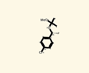 [CH2][C@@H](OC(C)(C)OC)c1ccc(Cl)cc1